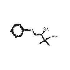 CCCCCC(C)(C)C(O)COc1ccccc1